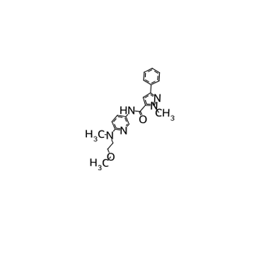 COCCN(C)c1ccc(NC(=O)c2cc(-c3ccccc3)nn2C)cn1